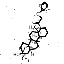 C[C@@]1(O)CC[C@@]2(C)[C@@H](CC[C@@H]3[C@@H]2CC[C@]2(C)[C@@H](C(=O)COc4ncc[nH]4)CCC[C@@H]32)C1